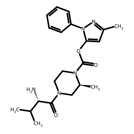 Cc1cc(OC(=O)N2CCN(C(=O)[C@@H](N)C(C)C)C[C@@H]2C)n(-c2ccccc2)n1